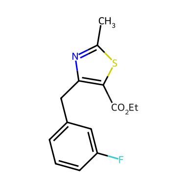 CCOC(=O)c1sc(C)nc1Cc1cccc(F)c1